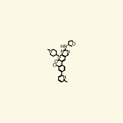 Cc1cccc(-c2ccc(-c3cc4cnc(N[C@@H]5CCOC5)nc4n(C4CCN(C)CC4)c3=O)c(Cl)c2)n1